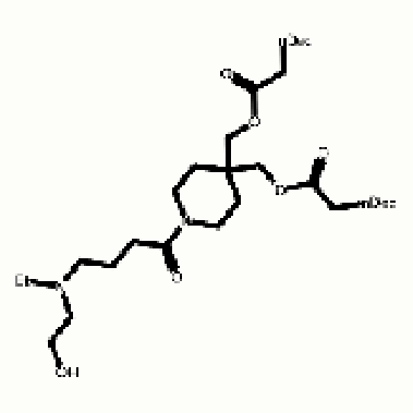 CCCCCCCCCCCC(=O)OCC1(COC(=O)CCCCCCCCCCC)CCN(C(=O)CCCN(CC)CCO)CC1